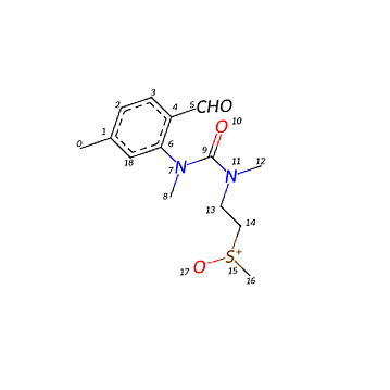 Cc1ccc(C=O)c(N(C)C(=O)N(C)CC[S+](C)[O-])c1